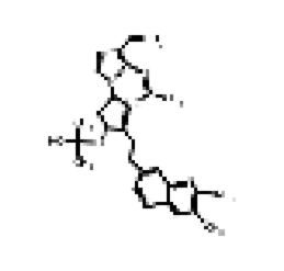 C=Cc1ccn(C2C=C(CCc3ccc4cc(C)c(N)nc4c3)[C@@H](OC(C)(C)O)C2)c1N=C(C)C